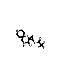 O=C(OC1CC12OC1(CCNCC1)CNC2=O)C(F)(F)F